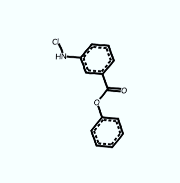 O=C(Oc1ccccc1)c1cccc(NCl)c1